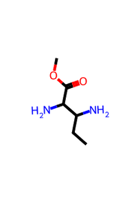 CCC(N)C(N)C(=O)OC